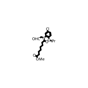 COC(=O)CCCCCCC(=O)N(CC=O)c1cc(Cl)ccc1OC(C)C